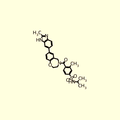 Cc1nc2ccc(-c3ccc4c(c3)CN(C(=O)c3ccc(S(=O)(=O)NC(C)C)cc3C)CCO4)cc2[nH]1